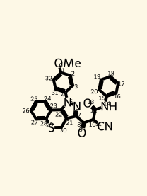 COc1ccc(-n2nc(C(=O)C(C#N)C(=O)Nc3ccccc3)c3c2-c2ccccc2SC3)cc1